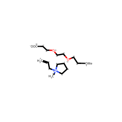 C=CC[N+]1(C)CCCC1.COCCOCCOCCC(=O)[O-]